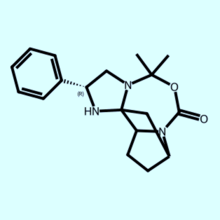 CC1(C)OC(=O)N2C3CCC2C2(C3)N[C@H](c3ccccc3)CN12